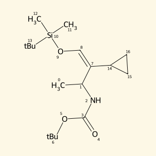 CC(NC(=O)OC(C)(C)C)C(=CO[Si](C)(C)C(C)(C)C)C1CC1